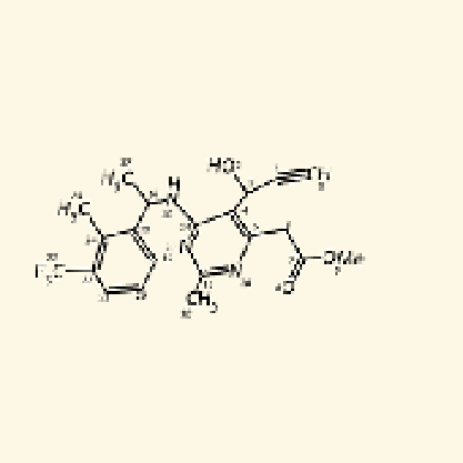 C#CC(O)c1c(CC(=O)OC)nc(C)nc1NC(C)c1cccc(C(F)(F)F)c1C